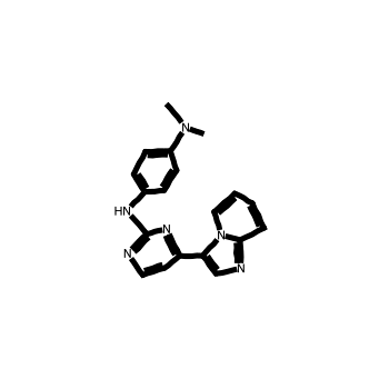 CN(C)c1ccc(Nc2nccc(-c3cnc4ccccn34)n2)cc1